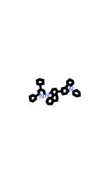 c1ccc(-c2cc(-c3ccccc3)nc(-n3c4cccc5ccc6c(-c7ccc8c(c7)c7ccccc7n8-c7ccccc7)ccc3c6c54)c2)cc1